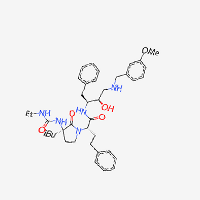 CCNC(=O)N[C@]1(C(C)CC)CCN([C@@H](CCc2ccccc2)C(=O)N[C@@H](Cc2ccccc2)[C@H](O)CNCc2cccc(OC)c2)C1=O